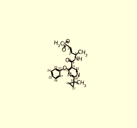 CC(C=CS(C)(=O)=O)NC(=O)c1cnc(C2(C)CC2)nc1Oc1ccccc1